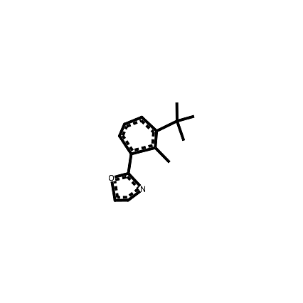 Cc1c(-c2ncco2)cccc1C(C)(C)C